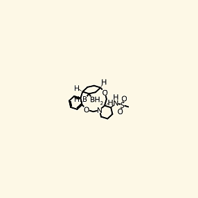 BC1(B)C[C@H]2CC[C@@H]1c1ccccc1OCN1CCC[C@H](NS(C)(=O)=O)[C@@H]1CO2